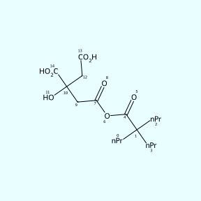 CCCC(CCC)(CCC)C(=O)OC(=O)CC(O)(CC(=O)O)C(=O)O